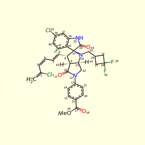 C=C(Cl)/C=C\C=C(/F)[C@H]1[C@@H]2C(=O)N(c3ccc(C(=O)OC)cc3)C[C@@H]2N(CC2CC(F)(F)C2)[C@@]12C(=O)Nc1cc(Cl)ccc12